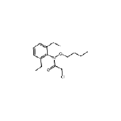 CCCCON(C(=O)CCl)c1c(CC)cccc1CC